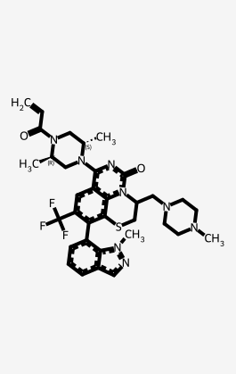 C=CC(=O)N1C[C@H](C)N(c2nc(=O)n3c4c(c(-c5cccc6cnn(C)c56)c(C(F)(F)F)cc24)SCC3CN2CCN(C)CC2)C[C@H]1C